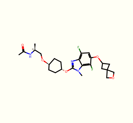 CC(=O)N[C@@H](C)CO[C@H]1CC[C@H](Oc2nc3c(F)cc(OC4CC5(COC5)C4)c(F)c3n2C)CC1